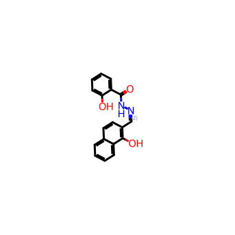 O=C(N/N=C\c1ccc2ccccc2c1O)c1ccccc1O